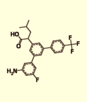 CC(C)CC(C(=O)O)c1cc(-c2ccc(C(F)(F)F)cc2)cc(-c2cc(N)cc(F)c2)c1